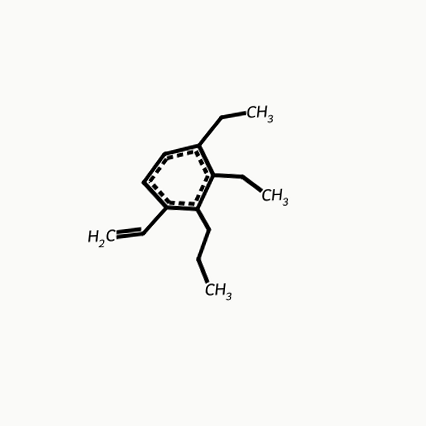 C=Cc1ccc(CC)c(CC)c1CCC